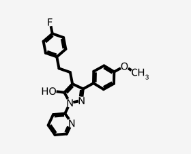 COc1ccc(-c2nn(-c3ccccn3)c(O)c2CCc2ccc(F)cc2)cc1